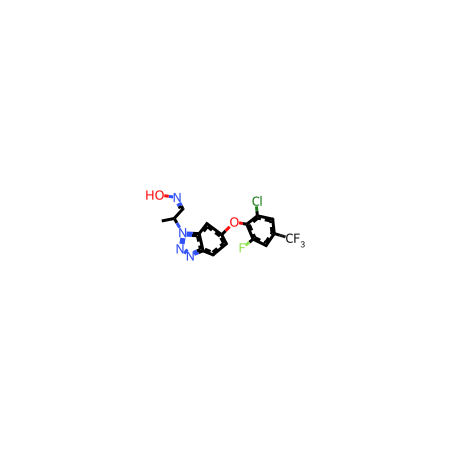 CC(/C=N\O)n1nnc2ccc(Oc3c(F)cc(C(F)(F)F)cc3Cl)cc21